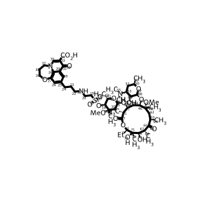 CC[C@H]1OC(=O)[C@H](C)[C@@H](O[C@H]2C[C@@](C)(OC)[C@@H](OS(=O)(=O)CCNCCCc3cc4c5c(c3)c(=O)c(C(=O)O)cn5CCCO4)[C@H](C)O2)[C@H](C)[C@@H](O[C@@H]2O[C@H](C)C[C@H](N(C)C)[C@H]2O)[C@](C)(OC)C[C@@H](C)C(=O)[C@H](C)[C@@H](O)[C@]1(C)O